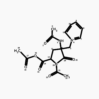 CC(=O)NC1(C[n+]2ccccc2)CC(C(=O)OC(C)=O)N(C(C)=O)C1=O